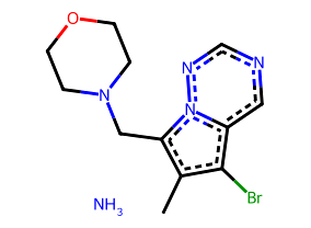 Cc1c(Br)c2cncnn2c1CN1CCOCC1.N